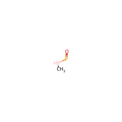 CBP=O